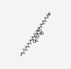 C(OCC1CO1)C1CO1.CCCCCCCCCCCCCCCCOCCCCCCCCCF